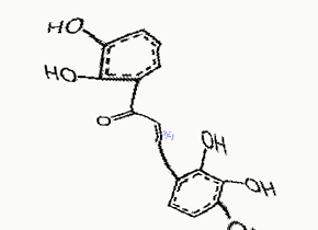 O=C(/C=C/c1ccc(O)c(O)c1O)c1cccc(O)c1O